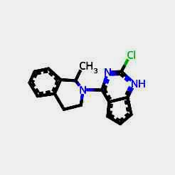 CC1c2ccccc2CCN1c1nc(Cl)[nH]c2cccc1-2